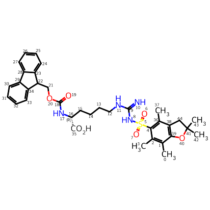 Cc1c(C)c(S(=O)(=O)NC(=N)NCCCC[C@@H](NC(=O)OCC2c3ccccc3-c3ccccc32)C(=O)O)c(C)c2c1OC(C)(C)C2